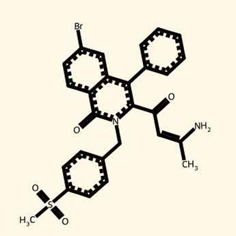 CC(N)=CC(=O)c1c(-c2ccccc2)c2cc(Br)ccc2c(=O)n1Cc1ccc(S(C)(=O)=O)cc1